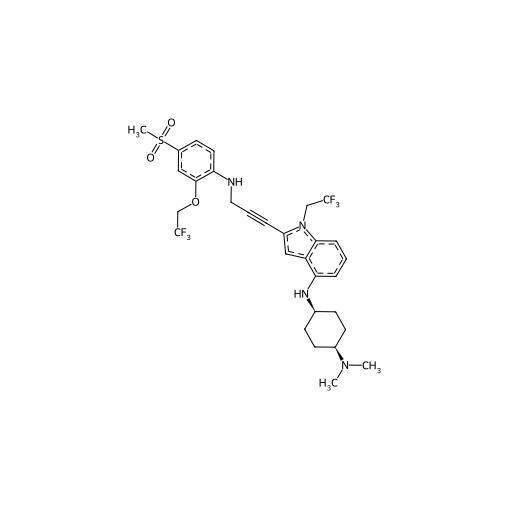 CN(C)[C@H]1CC[C@@H](Nc2cccc3c2cc(C#CCNc2ccc(S(C)(=O)=O)cc2OCC(F)(F)F)n3CC(F)(F)F)CC1